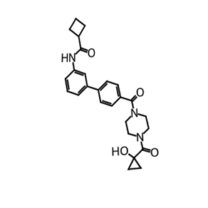 O=C(Nc1cccc(-c2ccc(C(=O)N3CCN(C(=O)C4(O)CC4)CC3)cc2)c1)C1CCC1